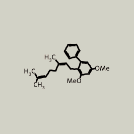 COc1cc(OC)c(CC=C(C)CCC=C(C)C)c(-c2ccccc2)c1